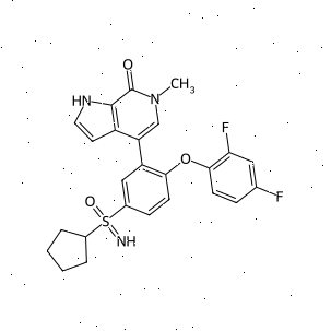 Cn1cc(-c2cc(S(=N)(=O)C3CCCC3)ccc2Oc2ccc(F)cc2F)c2cc[nH]c2c1=O